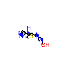 Cc1cc(-c2[nH]c3cc(-c4cnn(C5CCN(CCO)CC5)c4)sc3c2C(C)C)cn2ncnc12